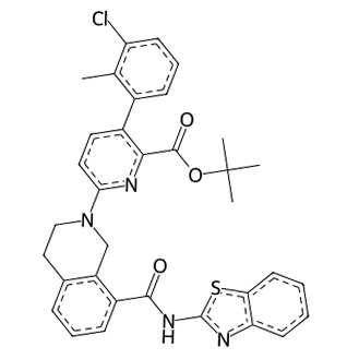 Cc1c(Cl)cccc1-c1ccc(N2CCc3cccc(C(=O)Nc4nc5ccccc5s4)c3C2)nc1C(=O)OC(C)(C)C